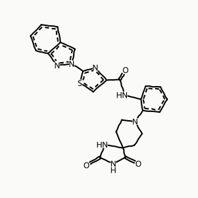 O=C1NC(=O)C2(CCN(c3ccccc3NC(=O)c3csc(-n4cc5ccccc5n4)n3)CC2)N1